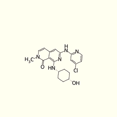 Cn1ccc2cc(Nc3cc(Cl)ccn3)nc(N[C@H]3CC[C@@H](O)CC3)c2c1=O